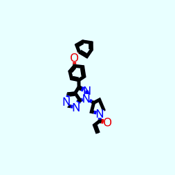 C=CC(=O)N1CCC(n2nc(-c3ccc(Oc4ccccc4)cc3)c3cncnc32)C1